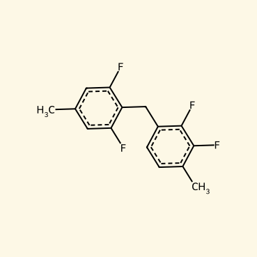 Cc1cc(F)c(Cc2ccc(C)c(F)c2F)c(F)c1